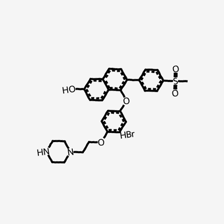 Br.CS(=O)(=O)c1ccc(-c2ccc3cc(O)ccc3c2Oc2ccc(OCCN3CCNCC3)cc2)cc1